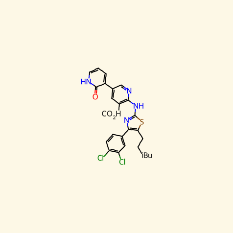 CCC(C)CCc1sc(Nc2ncc(-c3ccc[nH]c3=O)cc2C(=O)O)nc1-c1ccc(Cl)c(Cl)c1